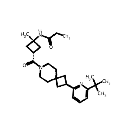 CCC(=O)N[C@]1(C)C[C@H](C(=O)N2CCC3(CC2)CC(c2cccc(C(C)(C)C)n2)C3)C1